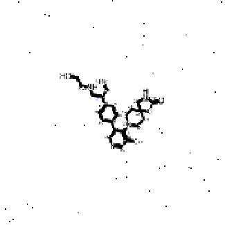 N=C/C(=C\NCCO)c1ccc(-c2cncc(Cl)c2N2CCC3(CC2)CNC(=O)O3)cc1